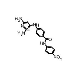 Nc1cc(Nc2ccc(C(=O)Nc3ccc([N+](=O)[O-])cc3)cc2)nc(N)n1